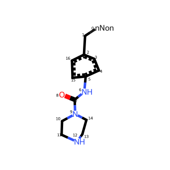 CCCCCCCCCCc1ccc(NC(=O)N2CCNCC2)cc1